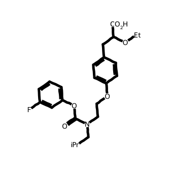 CCOC(Cc1ccc(OCCN(CC(C)C)C(=O)Oc2cccc(F)c2)cc1)C(=O)O